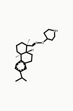 CC(C)c1ccc2c(c1)CC[C@H]1[C@](C)(/C=N/OC3CCNCC3)CCC[C@]21C